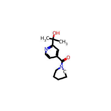 CC(C)(O)c1cc(C(=O)N2CCCCC2)ccn1